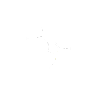 CC1=CC(C(C)C)=C[SH]1CCF